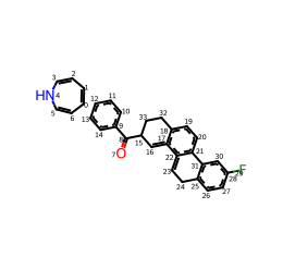 C1=CC=CNC=C1.O=C(c1ccccc1)C1C=c2c(ccc3c2=CCc2ccc(F)cc2-3)CC1